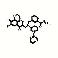 COC(=O)c1cc(CN(Cc2cn3c4c(c(F)c(F)cc4c2=O)OCC3)[C@H]2CCCN(c3cnccn3)C2)ccn1